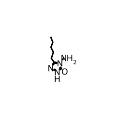 CCCCCc1n[nH]c(=O)n1N